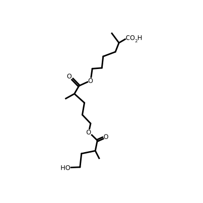 CC(CCCCOC(=O)C(C)CCCOC(=O)C(C)CCO)C(=O)O